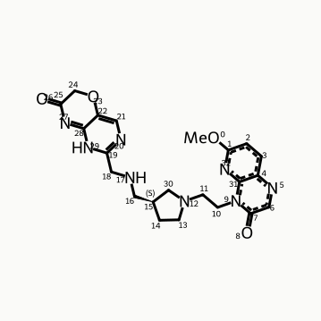 COc1ccc2ncc(=O)n(CCN3CC[C@@H](CNCC4=NC=C5OCC(=O)N=C5N4)C3)c2n1